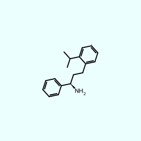 CC(C)c1c[c]ccc1CC[C@@H](N)c1ccccc1